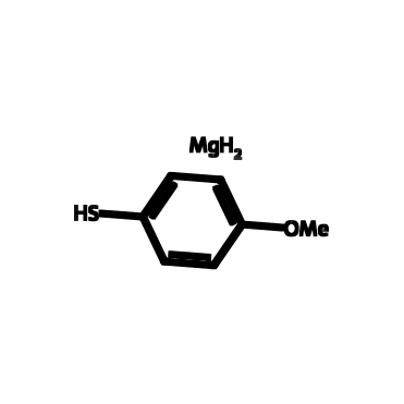 COc1ccc(S)cc1.[MgH2]